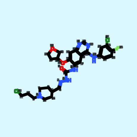 O=C(N/N=C/C1CCN(CCCCl)CC1)Nc1cc2c(Nc3ccc(F)c(Cl)c3)ncnc2cc1OC1CCOC1